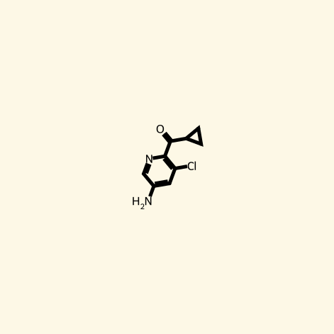 Nc1cnc(C(=O)C2CC2)c(Cl)c1